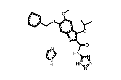 COc1cc2c(OC(C)C)c(C(=O)Nc3nnn[nH]3)sc2cc1OCc1ccccc1.c1c[nH]cn1